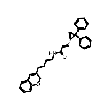 O=C(/C=C/[C@@H]1CC1(c1ccccc1)c1ccccc1)NCCCCC1=Cc2ccccc2OC1